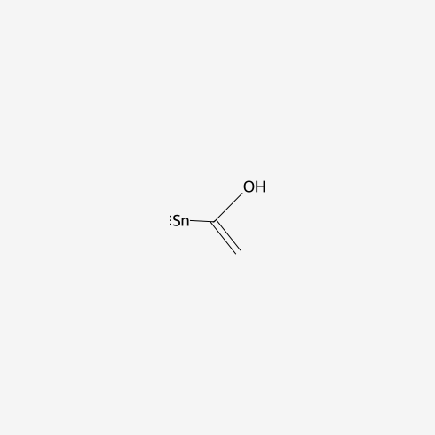 C=[C](O)[Sn]